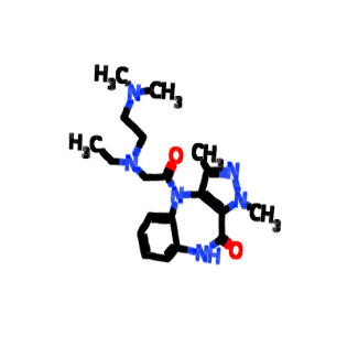 CCN(CCN(C)C)CC(=O)N1c2ccccc2NC(=O)c2c1c(C)nn2C